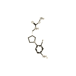 CC(C)(C)OC(=O)NC[C@H]1CCN(c2ccc(N)cc2F)C1